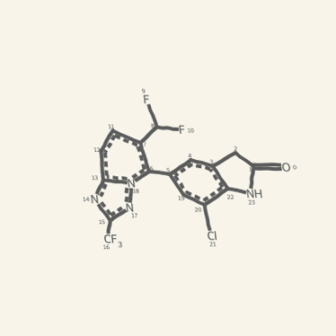 O=C1Cc2cc(-c3c(C(F)F)ccc4nc(C(F)(F)F)nn34)cc(Cl)c2N1